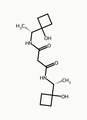 C[C@@H](NC(=O)CC(=O)N[C@H](C)C1(O)CCC1)C1(O)CCC1